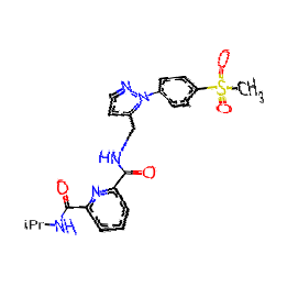 CC(C)NC(=O)c1cccc(C(=O)NCc2ccnn2-c2ccc(S(C)(=O)=O)cc2)n1